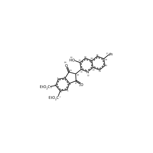 CCOC(=O)c1cc2c(cc1C(=O)OCC)C(=O)C(c1nc3ccc(C(C)C)cc3cc1O)C2=O